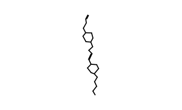 C=CCCC1CCC(CC/C=C/C2CCC(CCCCC)CC2)CC1